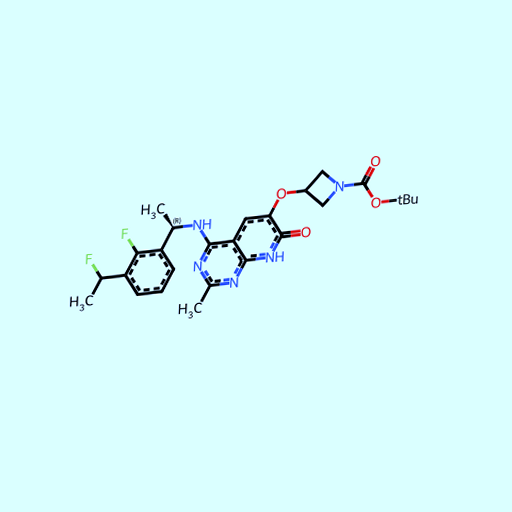 Cc1nc(N[C@H](C)c2cccc(C(C)F)c2F)c2cc(OC3CN(C(=O)OC(C)(C)C)C3)c(=O)[nH]c2n1